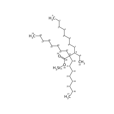 CCCCCCCCC(CC)C(CCCCCCCC)(CCCCCCCC)C(=O)O[SiH3]